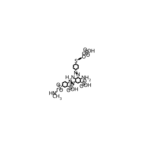 CNCCS(=O)(=O)c1ccc(N=Nc2cc(S(=O)(=O)O)c(N)c(N=Nc3ccc(SC#COOS(=O)(=O)O)cc3)c2N)c(S(=O)(=O)O)c1